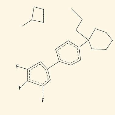 CC1CCC1.CCCC1(c2ccc(-c3cc(F)c(F)c(F)c3)cc2)CCCCC1